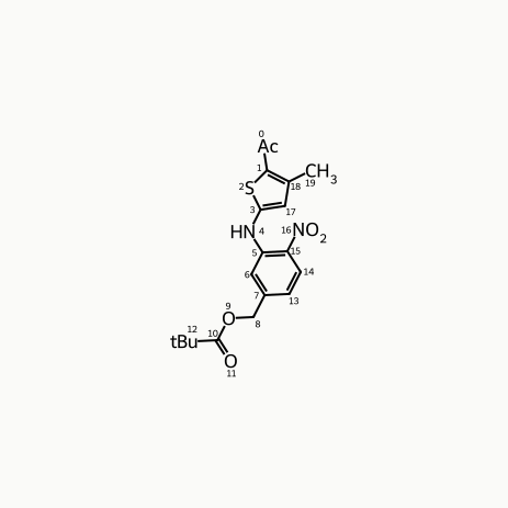 CC(=O)c1sc(Nc2cc(COC(=O)C(C)(C)C)ccc2[N+](=O)[O-])cc1C